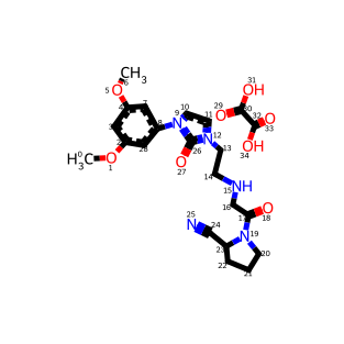 COc1cc(OC)cc(-n2ccn(CCNCC(=O)N3CCCC3C#N)c2=O)c1.O=C(O)C(=O)O